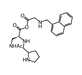 CC(=O)NC[C@H](NCC1CCCN1)C(=O)OC(=O)CNCc1cccc2ccccc12